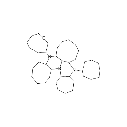 C1CCCC(N2C3CCCCCCC3B3C4CCCCCC4N(C4CCCCCCC4)C4CCCCCCC2C34)CCC1